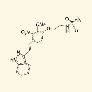 CCCS(=O)(=O)NCCOc1ccc(C=Cc2n[nH]c3ccccc23)c([N+](=O)[O-])c1OC